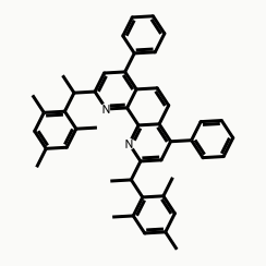 Cc1cc(C)c(C(C)c2cc(-c3ccccc3)c3ccc4c(-c5ccccc5)cc(C(C)c5c(C)cc(C)cc5C)nc4c3n2)c(C)c1